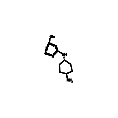 CC(C)(C)c1cc(N[C@H]2CC[C@H](N)CC2)ncn1